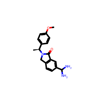 COc1ccc([C@H](C)N2Cc3ccc(C(N)N)cc3C2=O)cc1